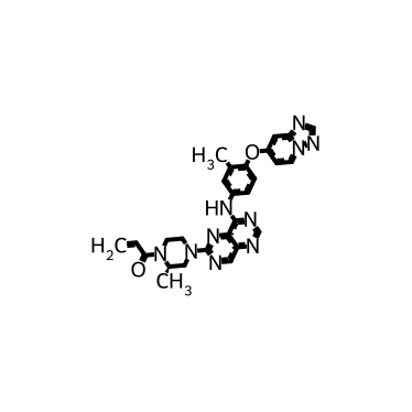 C=CC(=O)N1CCN(c2ncc3ncnc(Nc4ccc(Oc5ccn6ncnc6c5)c(C)c4)c3n2)C[C@H]1C